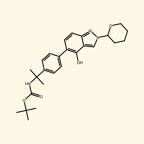 CC(C)(C)OC(=O)NC(C)(C)c1ccc(-c2ccc3nn(C4CCCCO4)cc3c2O)cc1